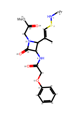 CCCNSC=C(C)C1C(NC(=O)COc2ccccc2)C(=O)N1CC(=O)OC